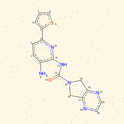 Nc1ccc(-c2cccs2)nc1NC(=O)N1Cc2nccnc2C1